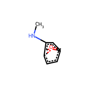 CNc1cc2ccc1o2